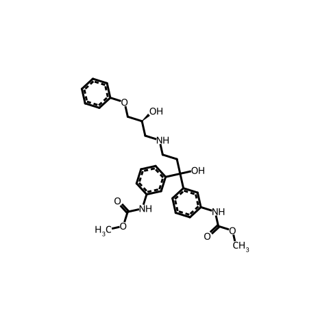 COC(=O)Nc1cccc(C(O)(CCNC[C@H](O)COc2ccccc2)c2cccc(NC(=O)OC)c2)c1